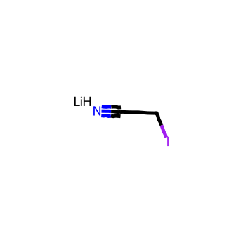 N#CCI.[LiH]